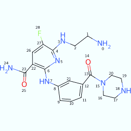 NCCNc1nc(Nc2cccc(C(=O)N3CCNCC3)c2)c(C(N)=O)cc1F